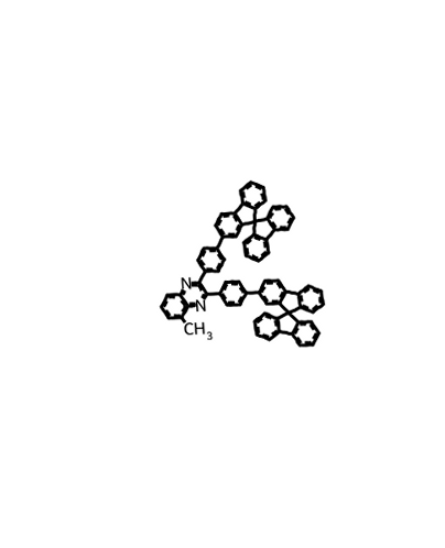 Cc1cccc2nc(-c3ccc(-c4ccc5c(c4)C4(c6ccccc6-c6ccccc64)c4ccccc4-5)cc3)c(-c3ccc(-c4ccc5c(c4)C4(c6ccccc6-c6ccccc64)c4ccccc4-5)cc3)nc12